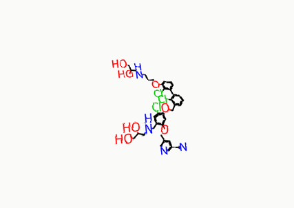 N#Cc1cncc(COc2cc(OCc3cccc(-c4cccc(OCCCNCC(O)CO)c4Cl)c3Cl)c(Cl)cc2CNCC(O)CO)c1